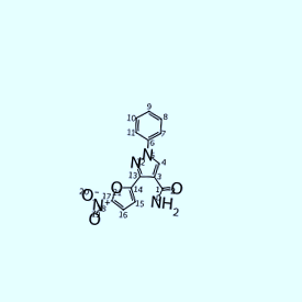 NC(=O)c1cn(-c2ccccc2)nc1-c1ccc([N+](=O)[O-])o1